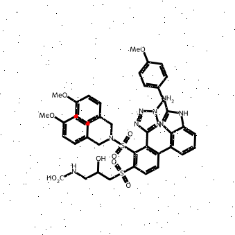 COc1ccc(CN(Cc2ccc(OC)cc2)S(=O)(=O)c2c(S(=O)(=O)CC(O)CNC(=O)O)ccc(-c3cccc4[nH]c(N)nc34)c2-c2nnn(Cc3ccc(OC)cc3)n2)cc1